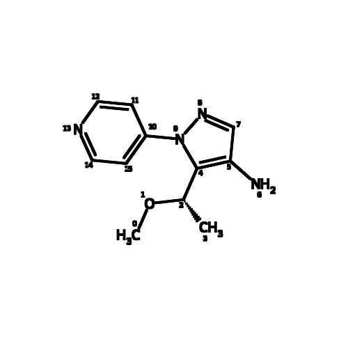 CO[C@@H](C)c1c(N)cnn1-c1ccncc1